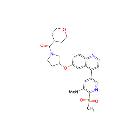 CNc1cc(-c2ccnc3ccc(OC4CCN(C(=O)C5CCOCC5)C4)cc23)cnc1S(C)(=O)=O